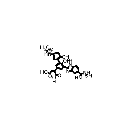 CS(=O)(=O)Nc1ccc(O)c(-c2cc(C(CC(=O)O)C(=O)O)cc(-c3nc4cc(C(=N)NO)ccc4[nH]3)c2O)c1